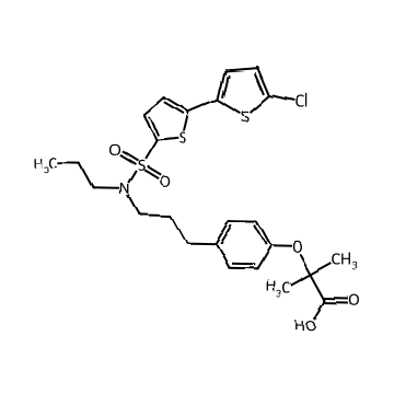 CCCN(CCCc1ccc(OC(C)(C)C(=O)O)cc1)S(=O)(=O)c1ccc(-c2ccc(Cl)s2)s1